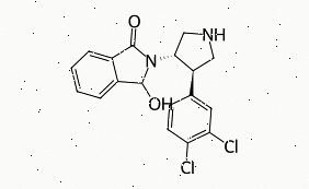 O=C1c2ccccc2C(O)N1[C@@H]1CNC[C@H]1c1ccc(Cl)c(Cl)c1